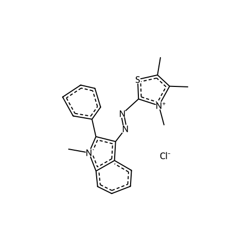 Cc1sc(N=Nc2c(-c3ccccc3)n(C)c3ccccc23)[n+](C)c1C.[Cl-]